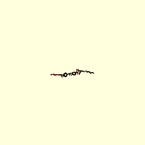 CCCCCCCCc1cnc(-c2ccc(OCc3ccc(OCCCCCC)cc3)cc2)nc1